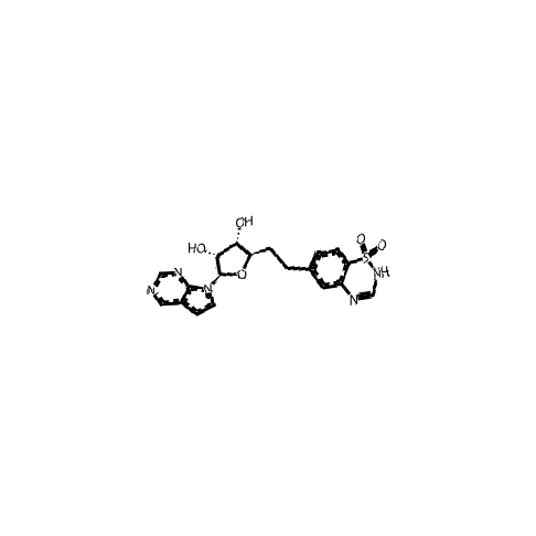 O=S1(=O)NC=Nc2cc(CC[C@H]3O[C@@H](n4ccc5cncnc54)[C@H](O)[C@@H]3O)ccc21